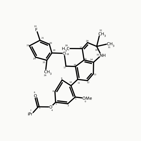 COc1cc(OC(=O)C(C)C)ccc1-c1ccc2c(c1COc1cc(F)ccc1C)C(C)=CC(C)(C)N2